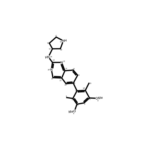 COc1cc(OC)c(C)c(-c2ccc3nc(NC4CCNC4)ncc3c2)c1C